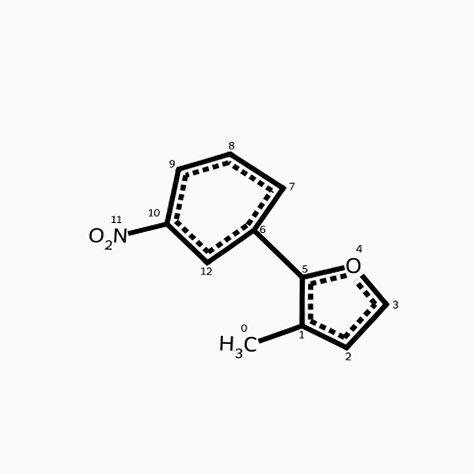 Cc1ccoc1-c1cccc([N+](=O)[O-])c1